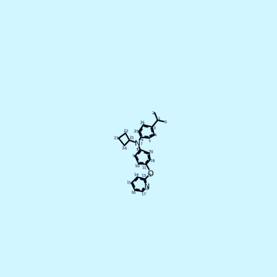 CC(C)c1ccc(N(c2ccc(Oc3ccccn3)cc2)C2CCC2)cc1